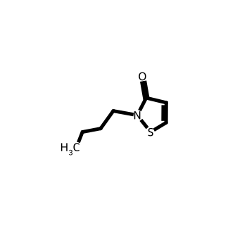 CCCCn1sccc1=O